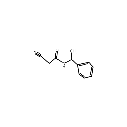 C[C@H](NC(=O)CC#N)c1ccccc1